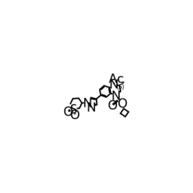 CC(=O)N1c2ccc(-c3cnn(C4CCCS(=O)(=O)C4)c3)cc2N(C(=O)OC2CCC2)C[C@@H]1C